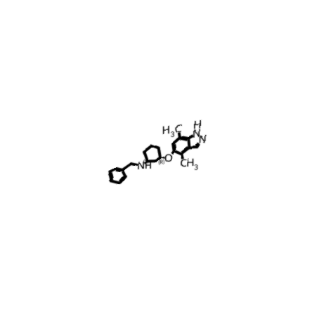 Cc1c(O[C@@H]2CCC[C@H](NCc3ccccc3)C2)cc(C)c2[nH]ncc12